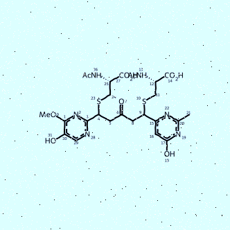 COc1nc(C(CC(=O)CC(SC[C@H](NC(C)=O)C(=O)O)c2cc(O)nc(C)n2)SC[C@H](NC(C)=O)C(=O)O)ncc1O